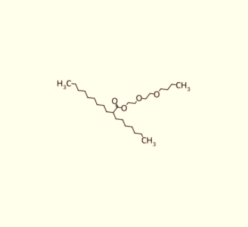 CCCCCCCCCC(CCCCCCC)C(=O)OCCOCCOCCCC